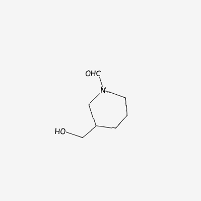 O=CN1CCCC(CO)C1